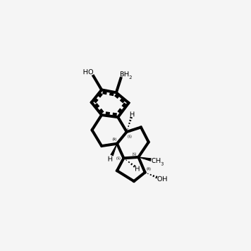 Bc1cc2c(cc1O)CC[C@@H]1[C@@H]2CC[C@]2(C)[C@H](O)CC[C@@H]12